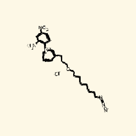 [Cl-].[N-]=[N+]=NCCCCCCCCOCCCc1ccc[n+](-c2ccc([N+](=O)[O-])cc2[N+](=O)[O-])c1